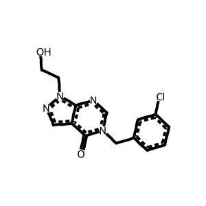 O=c1c2cnn(CCO)c2ncn1Cc1cccc(Cl)c1